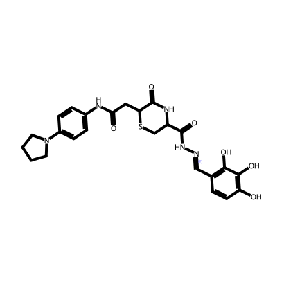 O=C(CC1SCC(C(=O)N/N=C/c2ccc(O)c(O)c2O)NC1=O)Nc1ccc(N2CCCC2)cc1